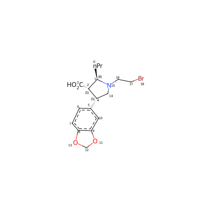 CCC[C@@H]1[C@@H](C(=O)O)[C@@H](c2ccc3c(c2)OCO3)CN1CCBr